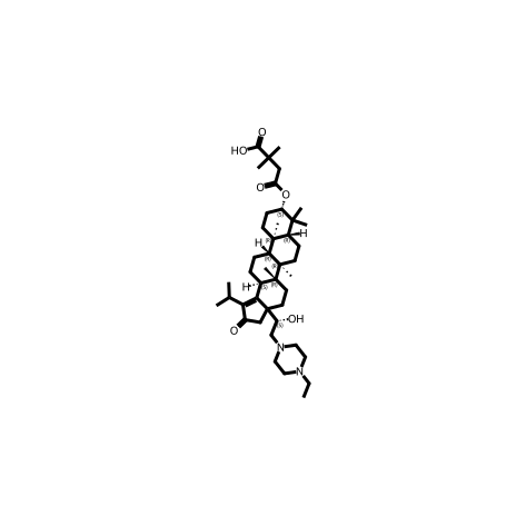 CCN1CCN(C[C@@H](O)C23CC[C@]4(C)[C@H](CC[C@@H]5[C@@]6(C)CC[C@H](OC(=O)CC(C)(C)C(=O)O)C(C)(C)[C@@H]6CC[C@]54C)C2=C(C(C)C)C(=O)C3)CC1